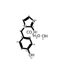 Cl.O.O=C(O)c1nccn1Cc1ccc(O)cc1